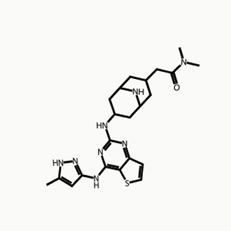 Cc1cc(Nc2nc(NC3CC4CC(CC(=O)N(C)C)CC(C3)N4)nc3ccsc23)n[nH]1